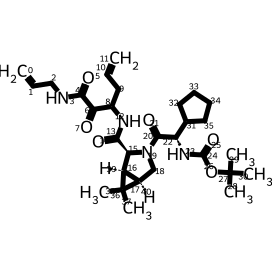 C=CCNC(=O)C(=O)C(CC=C)NC(=O)[C@@H]1[C@H]2[C@@H](CN1C(=O)[C@@H](NC(=O)OC(C)(C)C)C1CCCC1)C2(C)C